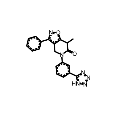 CC1C(=O)N(c2cccc(-c3nnn[nH]3)c2)Cc2c(-c3ccccc3)noc21